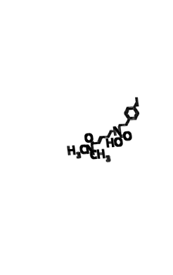 CN(C)C(=O)C=CCCN(CCc1ccc(I)cc1)C(=O)O